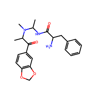 CC(NC(=O)C(N)Cc1ccccc1)N(C)C(C)C(=O)c1ccc2c(c1)OCO2